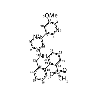 COc1cncc(-c2nccc(NCc3ccccc3-c3ccccc3S(C)(=O)=O)n2)c1